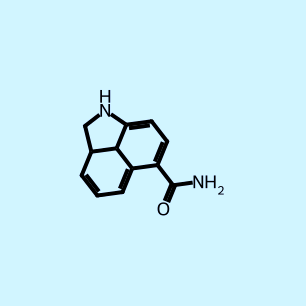 NC(=O)C1=CC=C2NCC3C=CC=C1C23